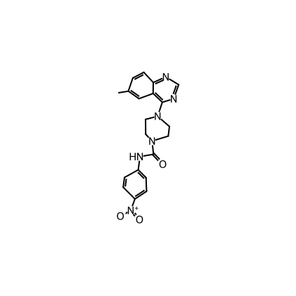 Cc1ccc2ncnc(N3CCN(C(=O)Nc4ccc([N+](=O)[O-])cc4)CC3)c2c1